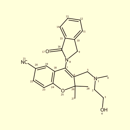 CN(CCO)CC1=C(N2Cc3ccccc3C2=O)c2cc(C#N)ccc2OC1(C)C